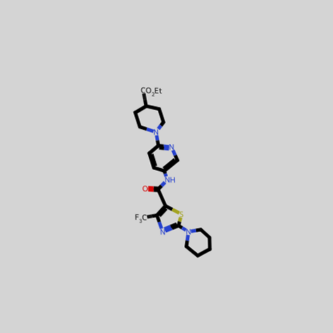 CCOC(=O)C1CCN(c2ccc(NC(=O)c3sc(N4CCCCC4)nc3C(F)(F)F)cn2)CC1